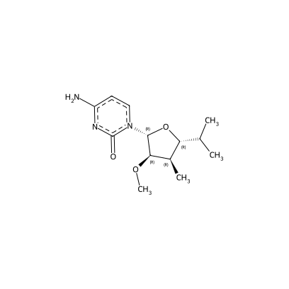 CO[C@@H]1[C@H](C)[C@@H](C(C)C)O[C@H]1n1ccc(N)nc1=O